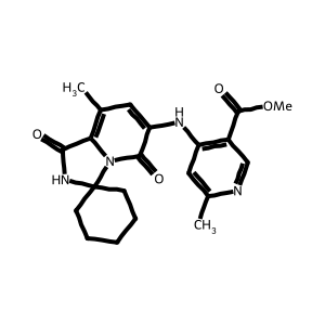 COC(=O)c1cnc(C)cc1Nc1cc(C)c2n(c1=O)C1(CCCCC1)NC2=O